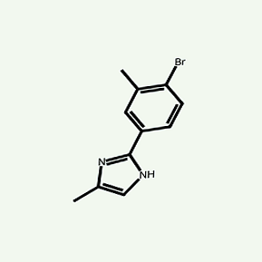 Cc1c[nH]c(-c2ccc(Br)c(C)c2)n1